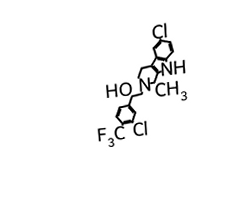 CC1c2[nH]c3ccc(Cl)cc3c2CCN1CC(O)c1ccc(C(F)(F)F)c(Cl)c1